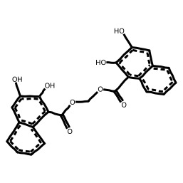 O=C(OCOC(=O)c1c(O)c(O)cc2ccccc12)c1c(O)c(O)cc2ccccc12